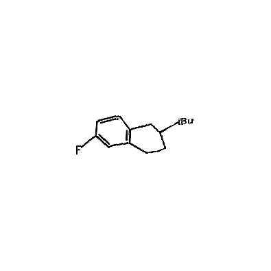 CCC(C)C1CCc2cc(F)ccc2C1